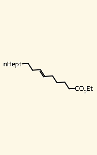 CCCCCCCCCC=CCCCCC(=O)OCC